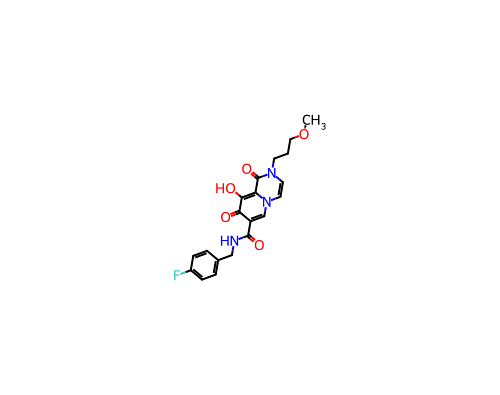 COCCCn1ccn2cc(C(=O)NCc3ccc(F)cc3)c(=O)c(O)c2c1=O